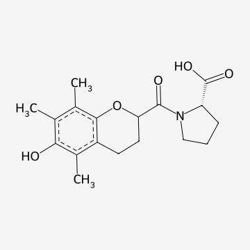 Cc1c(C)c2c(c(C)c1O)CCC(C(=O)N1CCC[C@H]1C(=O)O)O2